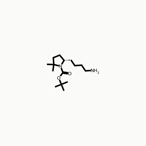 CC(C)(C)OC(=O)N1[C@@H](CCCCN)CCC1(C)C